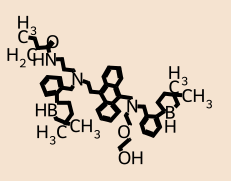 C=C(CC)C(=O)NCCCN(CCc1c2ccccc2c(CN(CCOCCO)Cc2ccccc2C2BCC(C)(C)CC2)c2ccccc12)Cc1ccccc1C1BCC(C)(C)CC1